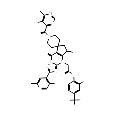 Cc1cc(-c2nc3n(CC(=O)Nc4ccc(C(F)(F)F)cc4Br)c4c(c(=O)n3n2)C2(CCN(C(=O)c3ncnc(C)c3O)CC2)CC4C)c(F)cn1